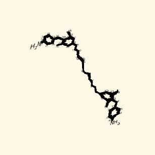 Cc1cc(CCCCCCCCCCCCc2cc(C)c(Cc3ccc(N)cc3)c(C)c2)cc(C)c1Cc1ccc(N)cc1